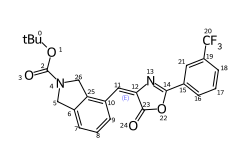 CC(C)(C)OC(=O)N1Cc2cccc(/C=C3/N=C(c4cccc(C(F)(F)F)c4)OC3=O)c2C1